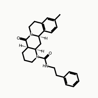 Cc1ccc2c(c1)CCN1C(=O)[C@@H]3CCCN(C(=O)NCCc4ccccc4)[C@@H]3C[C@H]21